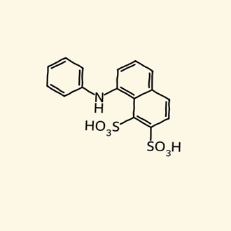 O=S(=O)(O)c1ccc2cccc(Nc3ccccc3)c2c1S(=O)(=O)O